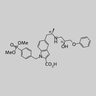 COP(=O)(OC)c1ccc(Cn2c(C(=O)O)cc3cc(C[C@@H](C)NC[C@H](O)COc4ccccc4)ccc32)cc1